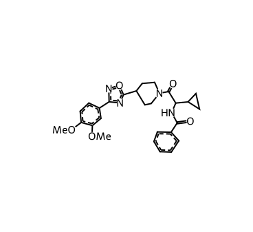 COc1ccc(-c2noc(C3CCN(C(=O)C(NC(=O)c4ccccc4)C4CC4)CC3)n2)cc1OC